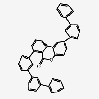 O=c1oc2ccc(-c3cccc(-c4ccccc4)c3)cc2c2cccc(-c3cccc(-c4cccc(-c5ccccc5)c4)c3)c12